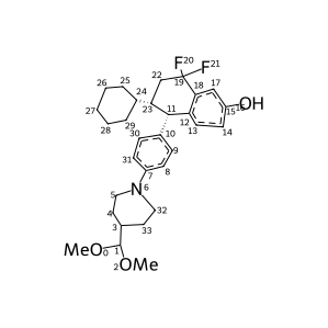 COC(OC)C1CCN(c2ccc([C@H]3c4ccc(O)cc4C(F)(F)C[C@H]3C3CCCCC3)cc2)CC1